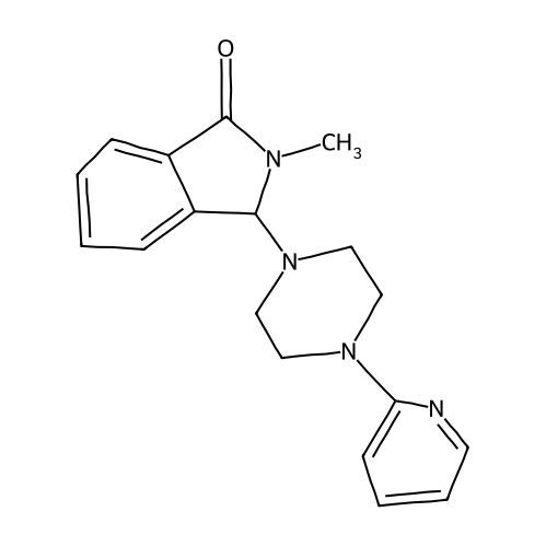 CN1C(=O)c2ccccc2C1N1CCN(c2ccccn2)CC1